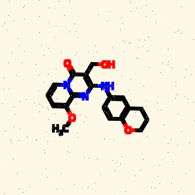 COc1cccn2c(=O)c(CO)c(Nc3ccc4c(c3)CCCO4)nc12